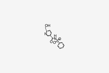 O=C(NS(=O)(=O)c1ccccc1)c1ccc(CO)nc1